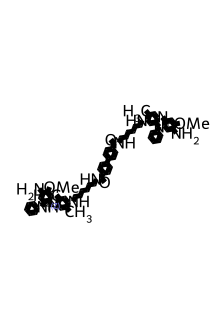 C=C1C=C(NCCCCCCNC(=O)c2ccc(-c3ccc(C(=O)NCCCCCCNc4cc5c(cc4C)nc4cc(OC)c(N)cc4[n+]5-c4ccccc4)cc3)cc2)C(C)=C/C1=N/c1cc(OC)c(N)cc1Nc1ccccc1